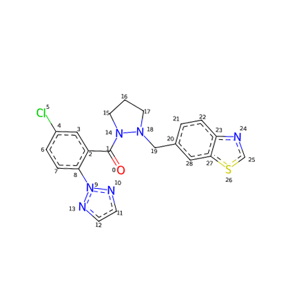 O=C(c1cc(Cl)ccc1-n1nccn1)N1CCCN1Cc1ccc2ncsc2c1